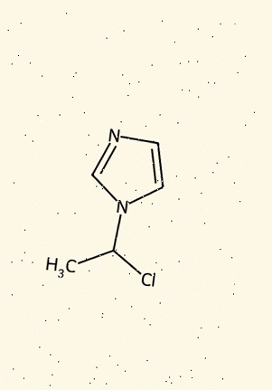 CC(Cl)n1ccnc1